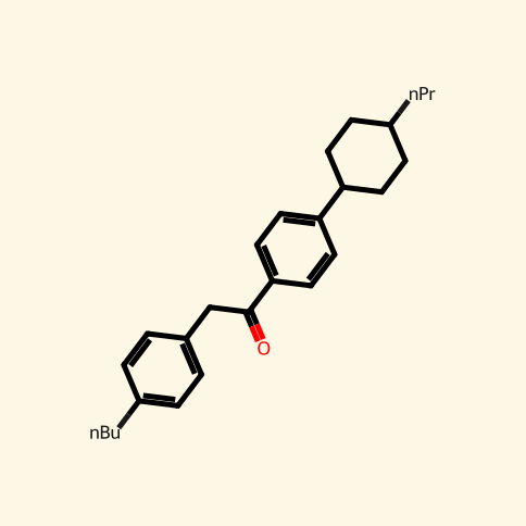 CCCCc1ccc(CC(=O)c2ccc(C3CCC(CCC)CC3)cc2)cc1